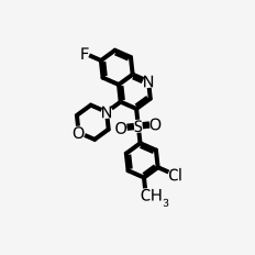 Cc1ccc(S(=O)(=O)c2cnc3ccc(F)cc3c2N2CCOCC2)cc1Cl